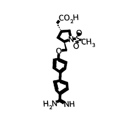 CS(=O)(=O)N1C[C@@H](CC(=O)O)C[C@@H]1COc1ccc(-c2ccc(C(=N)N)cc2)cc1